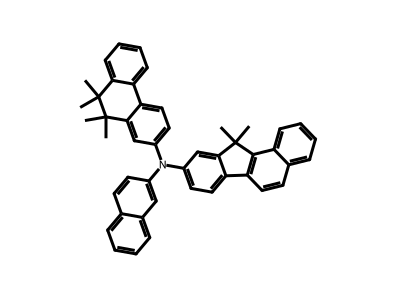 CC1(C)c2cc(N(c3ccc4c(c3)C(C)(C)C(C)(C)c3ccccc3-4)c3ccc4ccccc4c3)ccc2-c2ccc3ccccc3c21